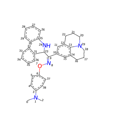 CN(C)c1ccc(ON=C(c2cc3c4c(c2)CCCN4CCC3)C(Nc2ccccc2)c2ccccc2)cc1